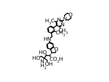 Cc1nc(N2CCOCC2)nc(C)c1-c1cccc(CNc2ccc3c(c2)OC[C@H]3C(C(=O)O)C(O)C(N)(CO)CO)c1C